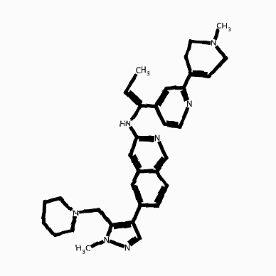 C/C=C(/Nc1cc2cc(-c3cnn(C)c3CN3CCCCC3)ccc2cn1)c1ccnc(C2=CCN(C)CC2)c1